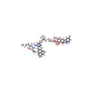 C=C(F)C(=O)N1CCN(c2nc(OC[C@@H]3CCCN3CCCOCCOc3c(Br)cc(C=C4C(=O)Nc5ccc(I)cc54)cc3Br)nc3c2CCN(c2cccc4cccc(Cl)c24)C3)C[C@@H]1CC#N